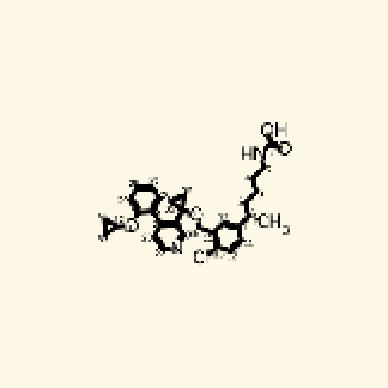 C[C@@H](CCCCNC(=O)O)c1ccc(Cl)c(COC2(c3cnccc3-c3ccccc3OC3CC3)CC2)c1